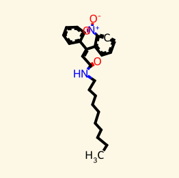 CCCCCCCCCCNC(=O)C=C(c1ccccc1)c1ccccc1[N+](=O)[O-]